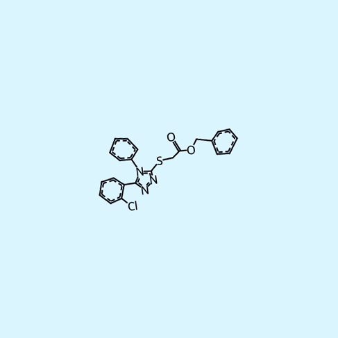 O=C(CSc1nnc(-c2ccccc2Cl)n1-c1ccccc1)OCc1ccccc1